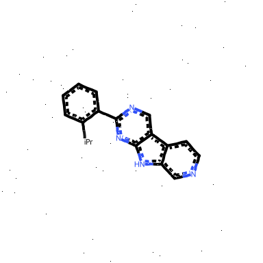 CC(C)c1ccccc1-c1ncc2c(n1)[nH]c1cnccc12